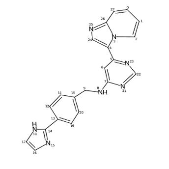 c1ccn2c(-c3cc(NCc4ccc(-c5ncc[nH]5)cc4)ncn3)cnc2c1